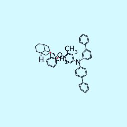 C=C[C@@H]1CC2CCC[C@@H](C1)C2Cc1ccccc1Oc1ccc(N(c2ccc(-c3ccccc3)cc2)c2cccc(-c3ccccc3)c2)cc1C